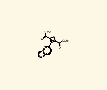 COC(=O)C12CC(C(=O)OC)(C1)C2c1ccc2nccn2n1